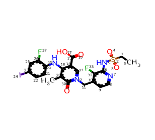 CCS(=O)(=O)Nc1nccc(Cn2cc(C(=O)O)c(Nc3ccc(I)cc3F)c(C)c2=O)c1F